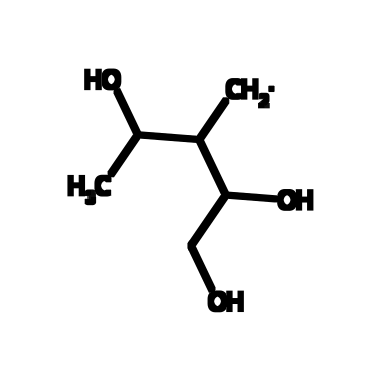 [CH2]C(C(C)O)C(O)CO